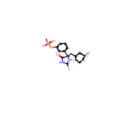 CS(=O)(=O)Oc1cccc(C2(Cc3cccc(Br)c3)NC(=S)NC2=O)c1